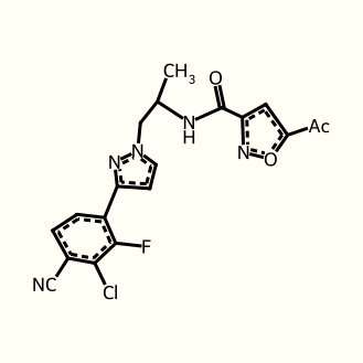 CC(=O)c1cc(C(=O)NC(C)Cn2ccc(-c3ccc(C#N)c(Cl)c3F)n2)no1